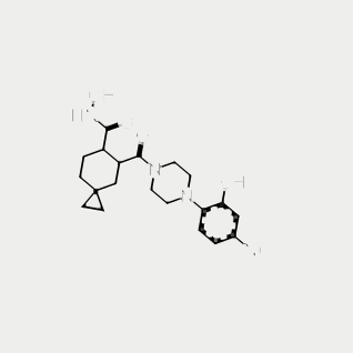 Cc1cc([N+](=O)[O-])ccc1N1CCN(C(=O)C2CC3(CCC2C(=O)NO)CC3)CC1